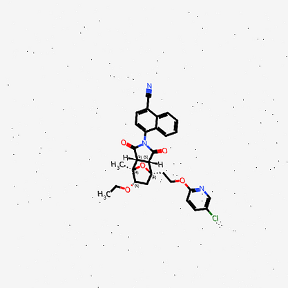 CCO[C@H]1C[C@@]2(CCOc3ccc(Cl)cn3)O[C@]1(C)[C@@H]1C(=O)N(c3ccc(C#N)c4ccccc34)C(=O)[C@@H]12